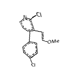 CO/C=C/c1c(-c2ccc(Cl)cc2)ccnc1Cl